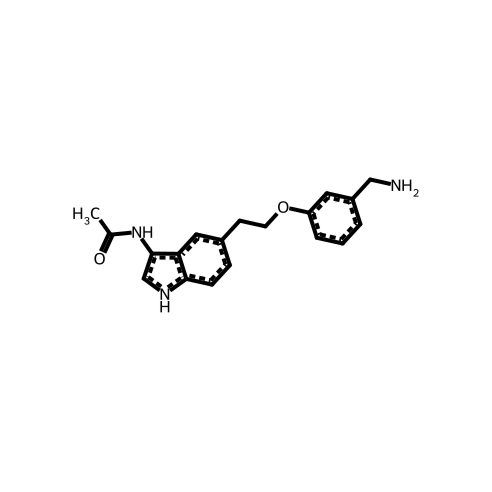 CC(=O)Nc1c[nH]c2ccc(CCOc3cccc(CN)c3)cc12